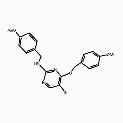 COc1ccc(CNc2ncc(Br)c(OCc3ccc(OC)cc3)n2)cc1